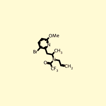 C=CCN(C(=O)C(F)(F)F)C(C)Cc1nc(OC)ccc1Br